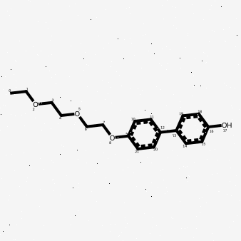 CCOCCOCCOc1ccc(-c2ccc(O)cc2)cc1